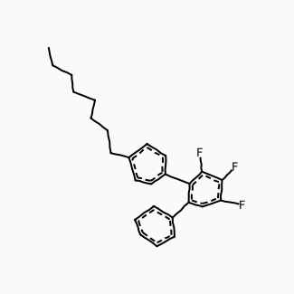 CCCCCCCCc1ccc(-c2c(-c3ccccc3)cc(F)c(F)c2F)cc1